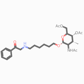 CC(=O)NC1[C@H](OCCCCCCNCC(=O)c2ccccc2)OC(COC(C)=O)[C@H](OC(C)=O)[C@@H]1C